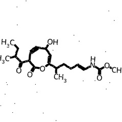 CCC(C)C(=O)C1C#CC(O)/C=C(/C(C)CC/C=C/NC(=O)OC)OC1=O